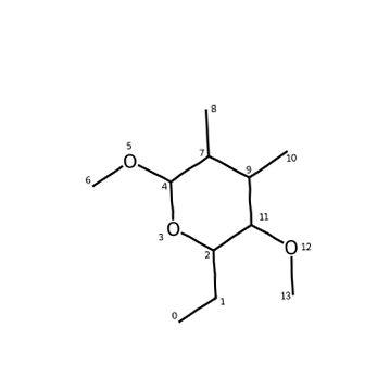 CCC1OC(OC)C(C)C(C)C1OC